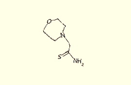 NC(=S)CN1CCOCC1